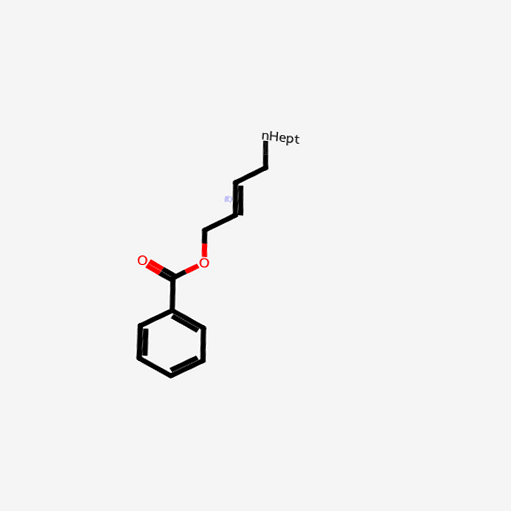 CCCCCCCC/C=C/COC(=O)c1ccccc1